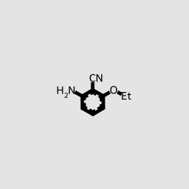 CCOc1cccc(N)c1C#N